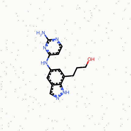 Nc1nccc(Nc2cc(CCCO)c3[nH]ncc3c2)n1